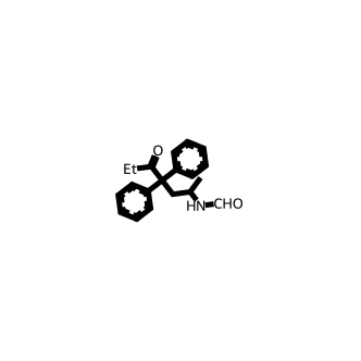 CCC(=O)C(CC(C)NC=O)(c1ccccc1)c1ccccc1